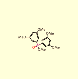 COc1cc(OC)cc(P(=O)(OC)c2cc(OC)cc(OC)c2)c1